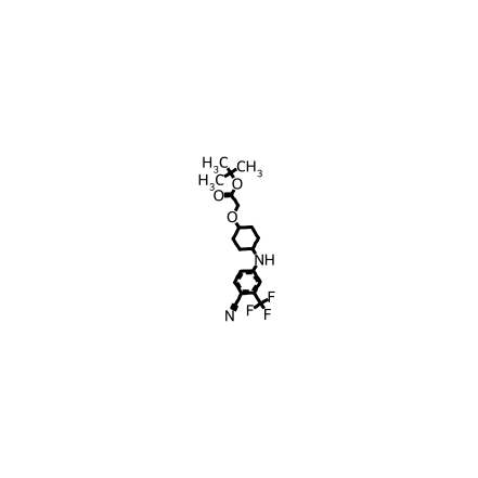 CC(C)(C)OC(=O)COC1CCC(Nc2ccc(C#N)c(C(F)(F)F)c2)CC1